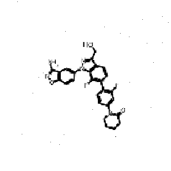 Nc1noc2ccc(-n3nc(CO)c4ccc(-c5ccc(N6CCCCC6=O)cc5F)c(F)c43)cc12